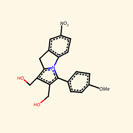 COc1ccc(-c2c(CO)c(CO)c3n2-c2ccc([N+](=O)[O-])cc2C3)cc1